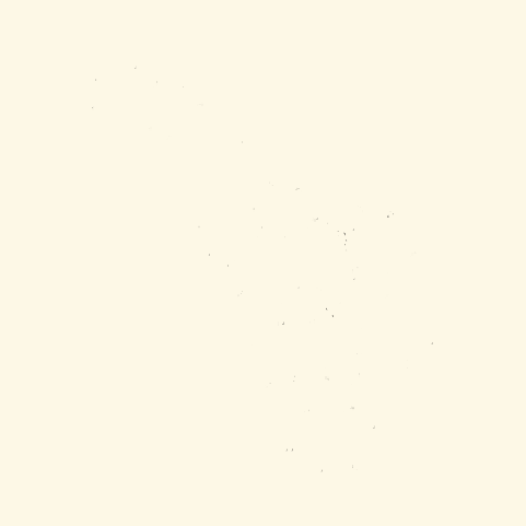 CC1(C)c2ccccc2-c2cc(-c3ccc4ccc5c(N(c6ccccc6-c6ccccc6)c6cccc7c6oc6ccccc67)ccc6ccc3c4c65)ccc21